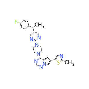 Cc1ncc(-c2cc3c(N4CCN(c5ncc([C@H](C)c6ccc(F)cc6)cn5)CC4)ncnn3c2)s1